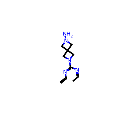 C=C/N=C(\N=C/C)N1CC2(CN(N)C2)C1